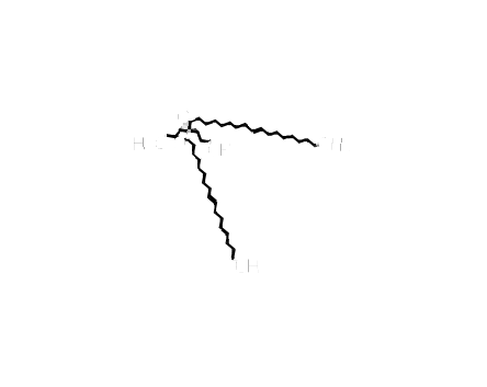 CCCCCCCCC=CCCCCCCC[C](=O)[Sn]([CH2]CCC)([CH2]CCC)[C](=O)CCCCCCCC=CCCCCCCCC